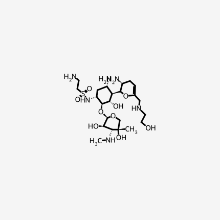 CN[C@@H]1[C@@H](O)[C@@H](O[C@@H]2[C@@H](O)[C@H](C3OC(CNCCO)=CC[C@H]3N)[C@@H](N)C[C@H]2NS(=O)(=O)CCN)OC[C@]1(C)O